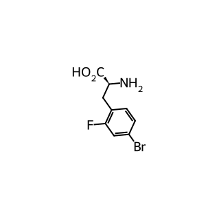 N[C@@H](Cc1ccc(Br)cc1F)C(=O)O